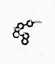 COc1ccc(-c2ccc3nc4c(n3c2)N(c2nccc3ccccc23)CCC4)cn1